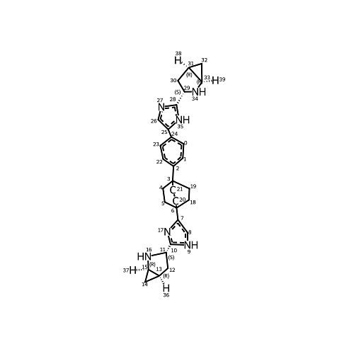 c1cc(C23CCC(c4c[nH]c([C@@H]5C[C@H]6C[C@H]6N5)n4)(CC2)CC3)ccc1-c1cnc([C@@H]2C[C@H]3C[C@H]3N2)[nH]1